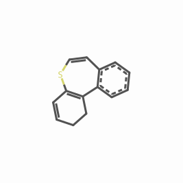 C1=CC2=C(CC1)c1ccccc1C=CS2